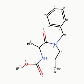 CCCC(NC(=O)OC(C)(C)C)C(=O)N(CCOC(C)=O)Cc1ccccc1